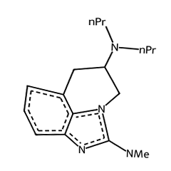 CCCN(CCC)C1Cc2cccc3nc(NC)n(c23)C1